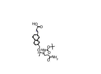 C[C@@H](OCc1ccc2ccc(/C=C/C(=O)O)cc2c1)[C@H](CCC(N)=O)NC(=O)OC(C)(C)C